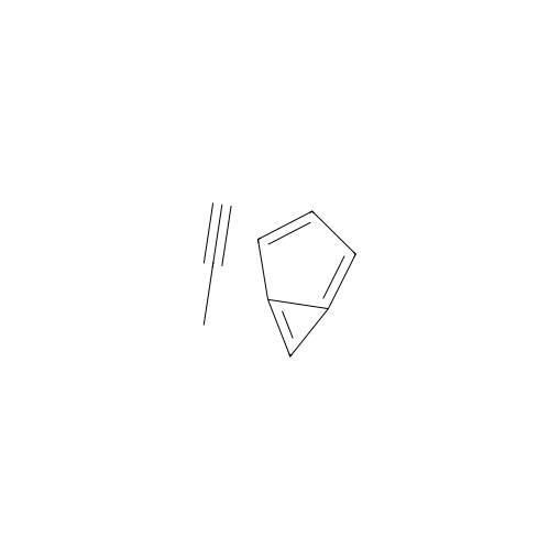 C#CC.c1cc2cc-2c1